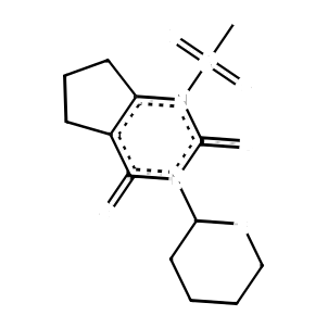 CS(=O)(=O)n1c2c(c(=O)n(C3CCCCO3)c1=O)CCC2